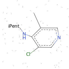 CCCC(C)Nc1c(C)cncc1Cl